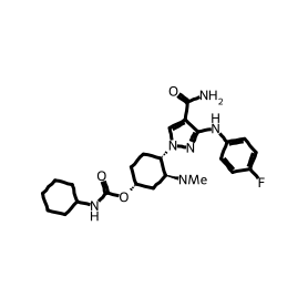 CN[C@H]1C[C@H](OC(=O)NC2CCCCC2)CC[C@@H]1n1cc(C(N)=O)c(Nc2ccc(F)cc2)n1